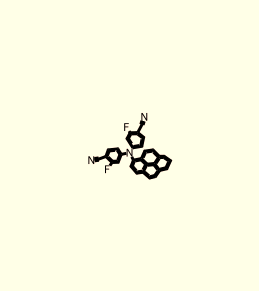 N#Cc1ccc(N(c2ccc(C#N)c(F)c2)c2ccc3ccc4cccc5ccc2c3c45)cc1F